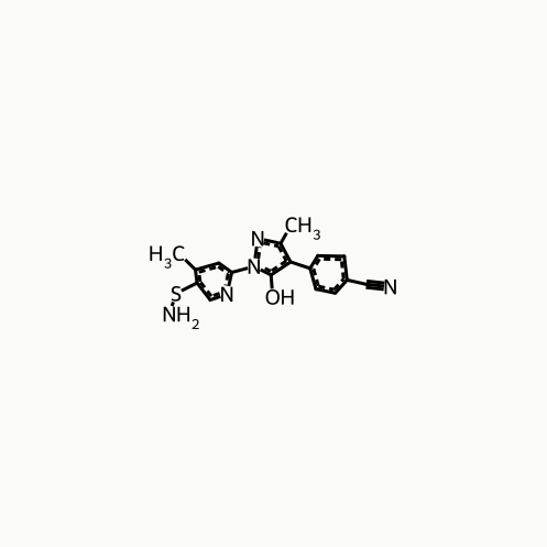 Cc1cc(-n2nc(C)c(-c3ccc(C#N)cc3)c2O)ncc1SN